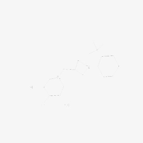 OC1[C@H](O)CN(CC2CN([C@H]3CCCC[C@H]3C(F)(F)F)C2)C[C@@H]1O